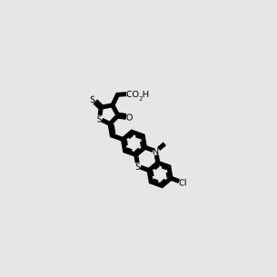 CN1c2ccc(C=C3SC(=S)C(CC(=O)O)C3=O)cc2Sc2ccc(Cl)cc21